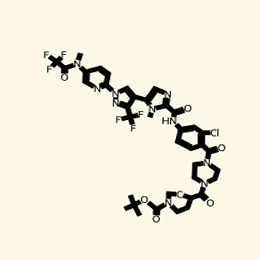 CN(C(=O)C(F)(F)F)c1ccc(-n2cc(-c3cnc(C(=O)Nc4ccc(C(=O)N5CCN(C(=O)C6CCN(C(=O)OC(C)(C)C)CC6)CC5)c(Cl)c4)n3C)c(C(F)(F)F)n2)nc1